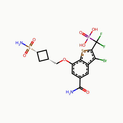 NC(=O)c1cc(OC[C@H]2C[C@@H](S(N)(=O)=O)C2)c2sc(C(F)(F)P(=O)(O)O)c(Br)c2c1